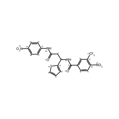 O=C(CC(NC(=O)c1ccc([N+](=O)[O-])c(C(F)(F)F)c1)c1cccs1)Nc1ccc([N+](=O)[O-])cc1